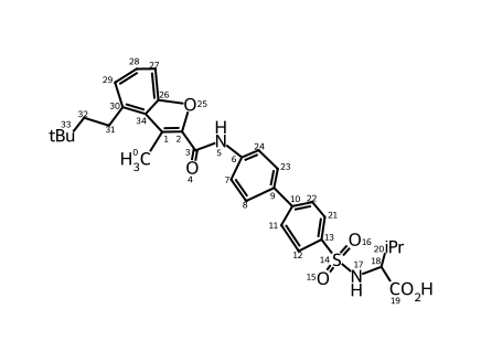 Cc1c(C(=O)Nc2ccc(-c3ccc(S(=O)(=O)NC(C(=O)O)C(C)C)cc3)cc2)oc2cccc(CCC(C)(C)C)c12